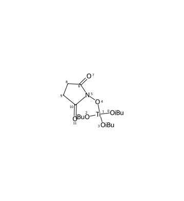 CC(C)C[O][Ti]([O]CC(C)C)([O]CC(C)C)[O]N1C(=O)CCC1=O